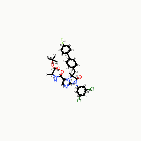 CC(NC(=O)c1cnc2n1C(C)(Cc1ccc(-c3ccc(F)cc3)cc1)C(=O)N2c1cc(Cl)cc(Cl)c1)C(=O)OC(C)(C)C